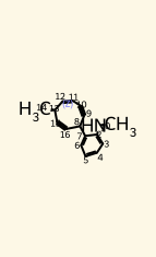 CNc1ccccc1C1C#C/C=C\C(C)C#C1